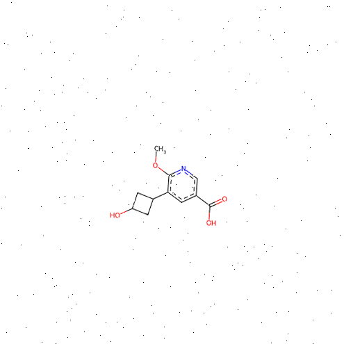 COc1ncc(C(=O)O)cc1C1CC(O)C1